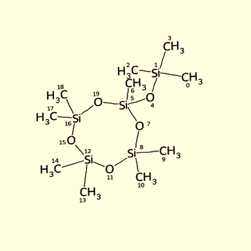 C[Si](C)(C)O[Si]1(C)O[Si](C)(C)O[Si](C)(C)O[Si](C)(C)O1